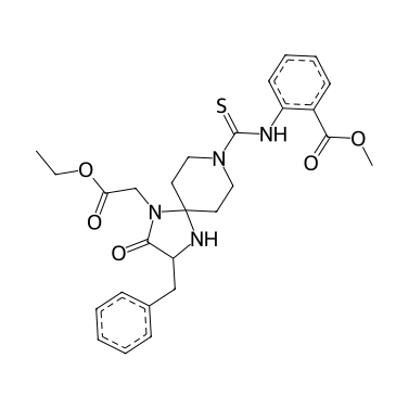 CCOC(=O)CN1C(=O)C(Cc2ccccc2)NC12CCN(C(=S)Nc1ccccc1C(=O)OC)CC2